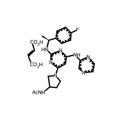 CC(=O)NC1CCN(c2cc(Nc3cnccn3)nc(N[C@@H](C)c3ccc(F)cc3)n2)C1.O=C(O)C=CC(=O)O